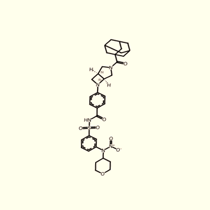 O=C(NS(=O)(=O)c1cccc(N(C2CCOCC2)[N+](=O)[O-])c1)c1ccc(N2C[C@H]3CN(C(=O)C45CC6CC(CC(C6)C4)C5)C[C@H]32)cc1